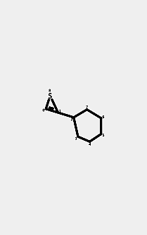 C1=C(C2CCCCC2)S1